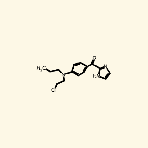 CCCN(CCCl)c1ccc(C(=O)c2ncc[nH]2)cc1